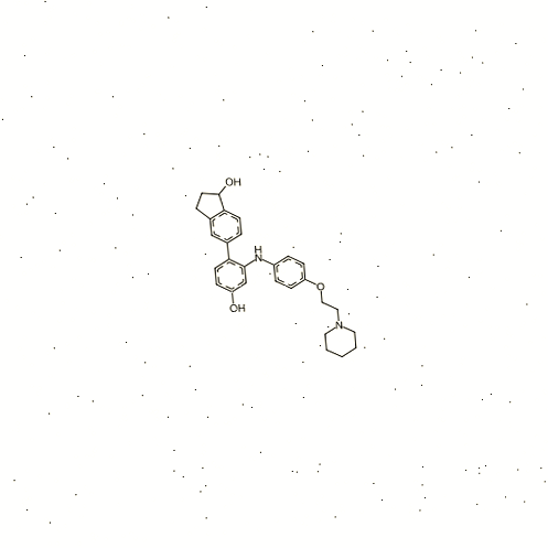 Oc1ccc(-c2ccc3c(c2)CCC3O)c(Nc2ccc(OCCN3CCCCC3)cc2)c1